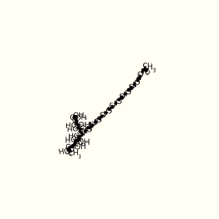 CC(=O)CCOCCOCCOCCOCCOCCOCCOCCOCCOCCOCCOCCOCCN(C[C@H](O)[C@@H](O)[C@H](O)[C@H](O)COP(C)(=O)O)C[C@H](O)[C@@H](O)[C@H](O)[C@H](O)COP(=O)(O)O